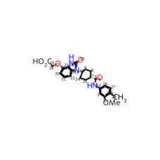 COc1cc(NC(=O)[C@H]2CC[C@@H](n3c(=O)[nH]c4c(OCC(=O)O)cccc43)CC2)ccc1C